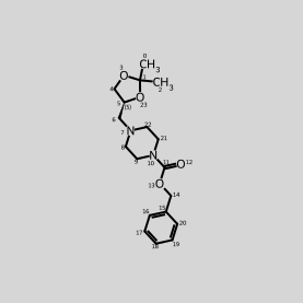 CC1(C)OC[C@H](CN2CCN(C(=O)OCc3ccccc3)CC2)O1